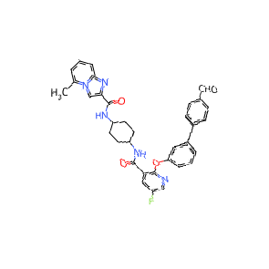 Cc1cccc2nc(C(=O)NC3CCC(NC(=O)c4cc(F)cnc4Oc4cccc(-c5ccc(C=O)cc5)c4)CC3)cn12